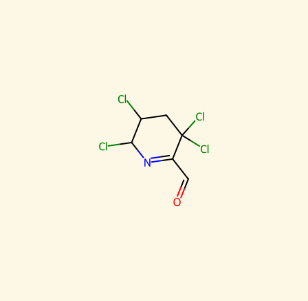 O=CC1=NC(Cl)C(Cl)CC1(Cl)Cl